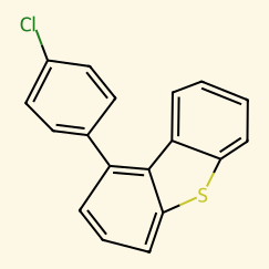 Clc1ccc(-c2cccc3sc4ccccc4c23)cc1